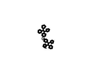 c1ccc(C(=C(c2ccccc2)c2ccc(Oc3ccc(C(=C(c4ccccc4)c4ccccc4)c4ccccc4)cc3)cc2)c2ccccc2)cc1